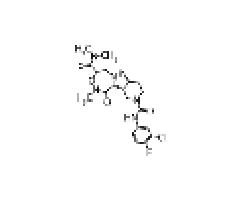 CN(C)C(=O)C1Cn2nc3c(c2C(=O)N(C)O1)CN(C(=O)Nc1ccc(F)c(Cl)c1)CC3